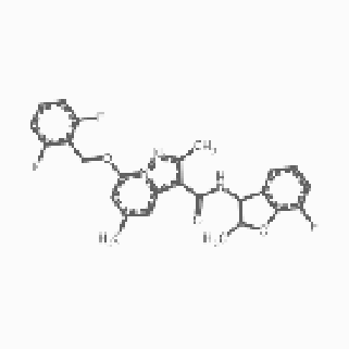 Cc1cc(OCc2c(F)cccc2F)n2nc(C)c(C(=O)NC3c4cccc(F)c4OC3C)c2c1